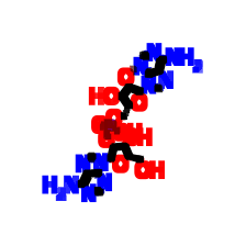 COC1C(O)[C@@H](COP(=O)(O)OC2C(O)[C@@H](CO)O[C@H]2n2cnc3c(N)ncnc32)O[C@H]1n1cnc2c(N)ncnc21